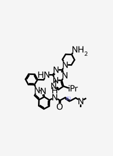 CC(C)c1cnn2c(NCc3ccccc3-n3cc4cccc(NC(=O)/C=C/CN(C)C)c4n3)nc(N3CCC(N)CC3)nc12